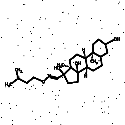 CN(C)CCON=CC1(O)CC[C@@]2(O)[C@@H]3CCC4CC(O)CC[C@]4(C)[C@@H]3CC[C@]12C